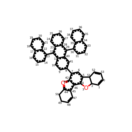 C1=CC2Oc3c(cc(-c4ccc5c(-c6cccc7ccccc67)c6ccccc6c(-c6cccc7ccccc67)c5c4)c4oc5c(c34)C=CCC5)C2C=C1